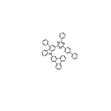 c1ccc(-c2ccc(-c3nc(-c4ccccc4)nc(-c4cc(-c5ccccc5)c5c6ccccc6n(-c6ccc7c8ccccc8c8ccccc8c7c6)c5c4)n3)cc2)cc1